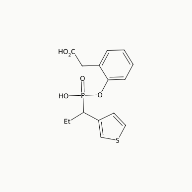 CCC(c1ccsc1)P(=O)(O)Oc1ccccc1CC(=O)O